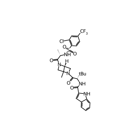 C[C@H](NS(=O)(=O)c1ccc(C(F)(F)F)cc1Cl)C(=O)N1CC2(C)[C@H]1CN2C(=O)[C@@H](NC(=O)c1cc2ccccc2[nH]1)C(C)(C)C